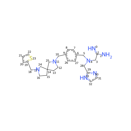 N=C(N)CN(Cc1ccc(CN2CCC3(CCN(Cc4cccs4)C3)C2)cc1)Cc1ncc[nH]1